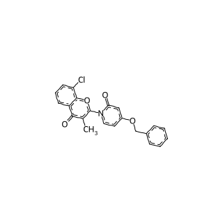 Cc1c(-n2ccc(OCc3ccccc3)cc2=O)oc2c(Cl)cccc2c1=O